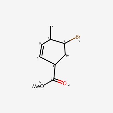 COC(=O)C1C=CC(C)C(Br)C1